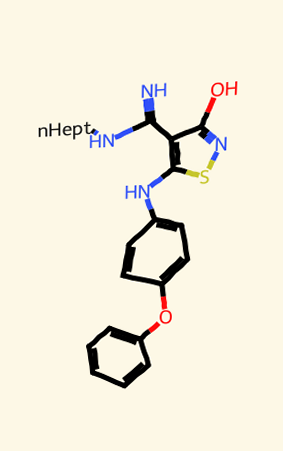 CCCCCCCNC(=N)c1c(O)nsc1Nc1ccc(Oc2ccccc2)cc1